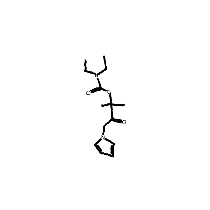 CCN(CC)C(=O)OC(C)(C)C(=O)Cn1cccc1